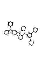 c1ccc(-c2cc(-c3ccccc3)nc(N3c4ccccc4-n4c5cc6c(cc5c5cccc3c54)c3ccccc3n6-c3ccccc3)n2)cc1